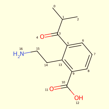 CC(C)C(=O)c1cccc(C(=O)O)c1CCN